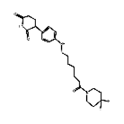 O=C1CCC(c2ccc(NCCCCCCC(=O)N3CCC(F)(F)CC3)cc2)C(=O)N1